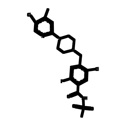 Cc1cc(N2CCN(Cc3cc(F)c(C(=O)NS(C)(=O)=O)cc3Cl)CC2)ncc1Cl